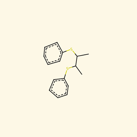 CC(Sc1ccccc1)C(C)Sc1ccccc1